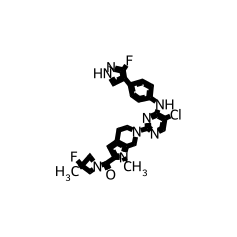 Cn1c(C(=O)N2CC(C)(F)C2)cc2c1CN(c1ncc(Cl)c(Nc3ccc(-c4c[nH]nc4F)cc3)n1)CC2